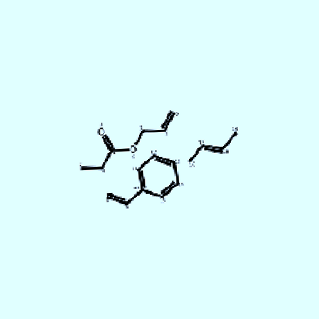 C=CCOC(=O)CC.C=Cc1ccccc1.CC=CC